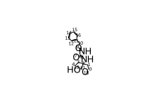 CCC(CC)(NC(=O)NOCc1ccccc1)C(=O)O